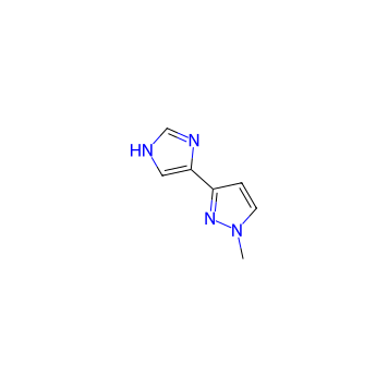 Cn1ccc(-c2c[nH]cn2)n1